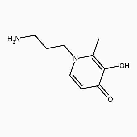 Cc1c(O)c(=O)ccn1CCCN